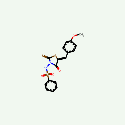 COc1ccc(/C=C2\SC(=S)N(NS(=O)(=O)c3ccccc3)C2=O)cc1